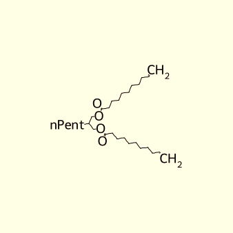 C=CCCCCCCCCC(=O)OCC(CCCCC)COC(=O)CCCCCCCCC=C